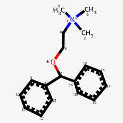 C[N+](C)(C)CCOC(c1ccccc1)c1ccccc1